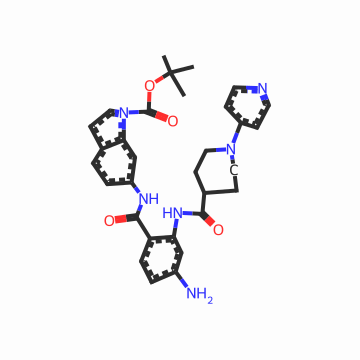 CC(C)(C)OC(=O)n1ccc2ccc(NC(=O)c3ccc(N)cc3NC(=O)C3CCN(c4ccncc4)CC3)cc21